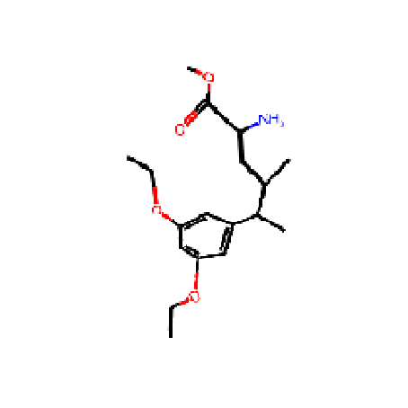 CCOc1cc(OCC)cc(C(C)C(C)CC(N)C(=O)OC)c1